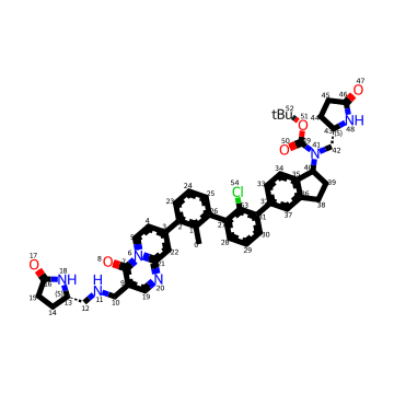 Cc1c(-c2ccn3c(=O)c(CNC[C@@H]4CCC(=O)N4)cnc3c2)cccc1-c1cccc(-c2ccc3c(c2)CCC3N(C[C@@H]2CCC(=O)N2)C(=O)OC(C)(C)C)c1Cl